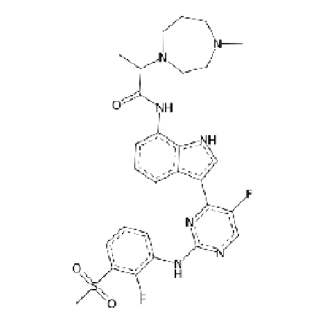 CC(C(=O)Nc1cccc2c(-c3nc(Nc4cccc(S(C)(=O)=O)c4F)ncc3F)c[nH]c12)N1CCCN(C)CC1